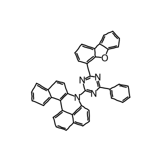 c1ccc(-c2nc(-c3cccc4c3oc3ccccc34)nc(N3c4ccc5ccccc5c4-c4cccc5cccc3c45)n2)cc1